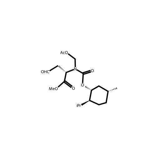 COC(=O)[C@H](CC=O)N(COC(C)=O)C(=O)O[C@@H]1C[C@H](C)CC[C@H]1C(C)C